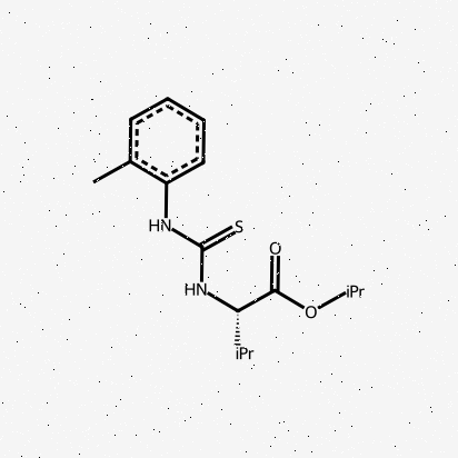 Cc1ccccc1NC(=S)N[C@H](C(=O)OC(C)C)C(C)C